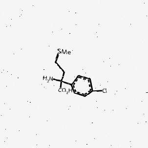 CSCCC(N)(C(=O)O)c1ccc(Cl)cc1